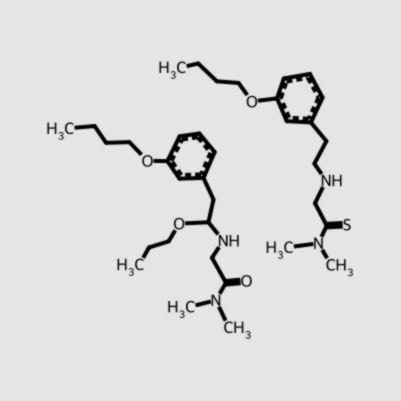 CCCCOc1cccc(CC(NCC(=O)N(C)C)OCCC)c1.CCCCOc1cccc(CCNCC(=S)N(C)C)c1